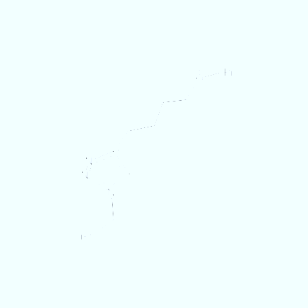 CC(C)Cn1cc(CCCCOC(C)C)nn1